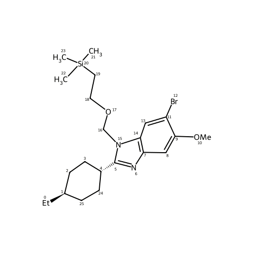 CC[C@H]1CC[C@H](c2nc3cc(OC)c(Br)cc3n2COCC[Si](C)(C)C)CC1